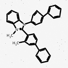 Cc1cc(-c2ccccc2)ccc1-c1n(-c2ccc(-c3ccccc3)cc2)c2ccccc2[n+]1C